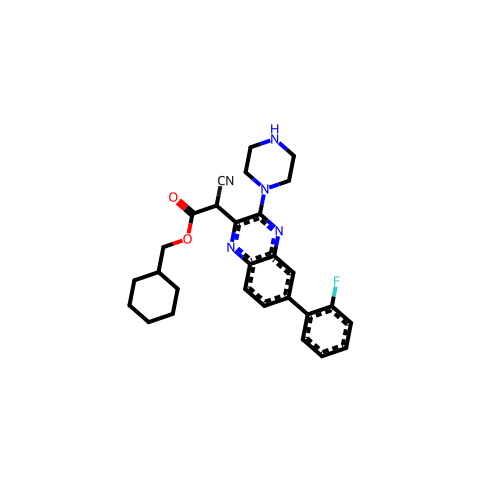 N#CC(C(=O)OCC1CCCCC1)c1nc2ccc(-c3ccccc3F)cc2nc1N1CCNCC1